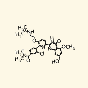 COc1cc(CO)cc2nc(-c3ccc(OCCNC(C)C)c(-c4ccc(C(=O)N(C)C)cc4Cl)n3)[nH]c(=O)c12